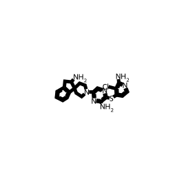 Nc1nc(N2CCC3(CC2)c2ccccc2CC3N)cnc1Sc1ccnc(N)c1Cl